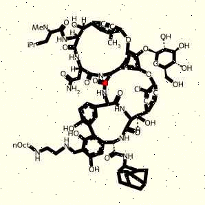 CCCCCCCCNCCNCc1c(O)cc2c(c1O)-c1cc(ccc1O)[C@H]1NC(=O)[C@@H]3NC(=O)[C@H](CC(N)=O)NC(=O)[C@H](NC(=O)[C@@H](CC(C)C)NC)[C@H](O)c4ccc(c(C)c4)Oc4cc3cc(c4O[C@@H]3O[C@H](CO)[C@@H](O)[C@H](O)[C@H]3O)Oc3ccc(cc3Cl)[C@@H](O)[C@H](NC1=O)C(=O)N[C@@H]2C(=O)NC1C2CC3CC(C2)CC1C3